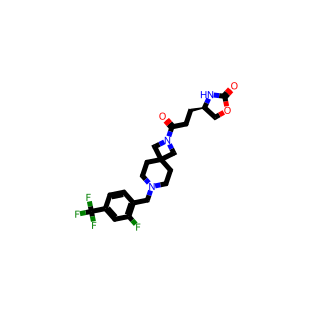 O=C1N[C@H](CCC(=O)N2CC3(CCN(Cc4ccc(C(F)(F)F)cc4F)CC3)C2)CO1